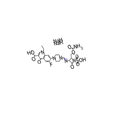 CCn1cc(C(=O)O)c(=O)c2cc(F)c(N3CCN(/C=N/C4C(=O)N(S(=O)(=O)O)C4COC(N)=O)CC3)cc21.[NaH].[NaH]